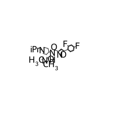 CC(C)N1CC[C@@H](NC(=O)c2cc(-c3ccc(F)cc3F)on2)[C@H](C(=O)N(C)C)C1